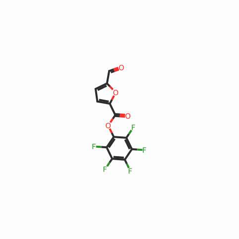 O=Cc1ccc(C(=O)Oc2c(F)c(F)c(F)c(F)c2F)o1